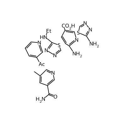 CC(=O)c1cccnc1.CCNc1nncs1.Cc1cncc(C(N)=O)c1.Nc1ccc(C(=O)O)cn1.Nc1nncs1